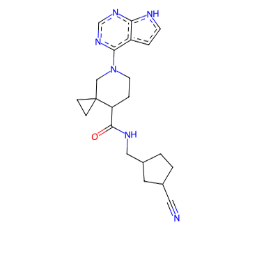 N#CC1CCC(CNC(=O)C2CCN(c3ncnc4[nH]ccc34)CC23CC3)C1